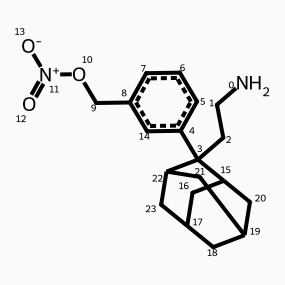 NCCC1(c2cccc(CO[N+](=O)[O-])c2)C2CC3CC(C2)CC1C3